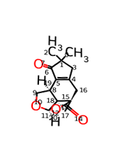 CC1(C)CC2=C(C1=O)[C@@H]1CO[C@@H]3OC(=O)[C@@]4(C2)C[C@]314